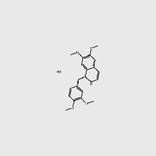 COc1ccc(CC2NC=Cc3cc(OC)c(OC)cc32)cc1OC.Cl